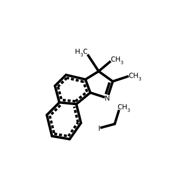 CC1=Nc2c(ccc3ccccc23)C1(C)C.CCI